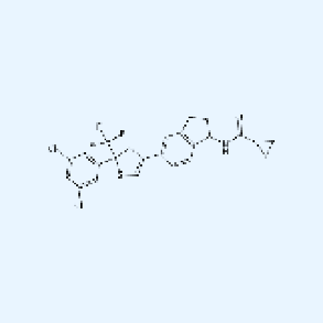 O=C(NC1CCc2cc(C3=CSC(c4cc(Cl)cc(Cl)c4)(C(F)(F)F)C3)ccc21)C1CC1